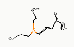 CCCCCCCCCCCCP(C=CCC(CC)CC)CCCCCCCCCCCC